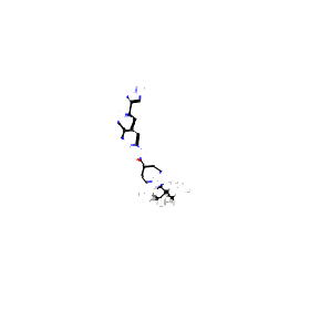 BC(B)(B)C(B)(C(B)(B)B)C(B)(B)N1CCC(C(=O)Nc2cc3cc(-c4cnn(C)c4)ncc3cn2)CC1